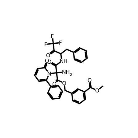 COC(=O)c1cccc(COC(=O)C(N)(C(=O)NC(Cc2ccccc2)C(=O)C(F)(F)F)n2c(-c3ccccc3)cccc2=O)c1